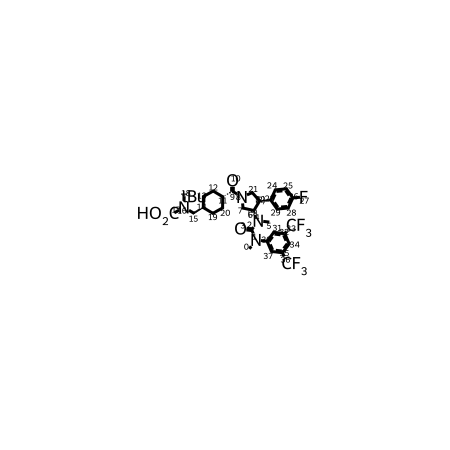 CN(C(=O)N(C)[C@@H]1CN(C(=O)[C@H]2CC[C@H](CN(C(=O)O)C(C)(C)C)CC2)C[C@H]1c1ccc(F)cc1)c1cc(C(F)(F)F)cc(C(F)(F)F)c1